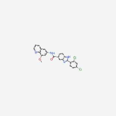 COc1cc(NC(=O)c2ccc3[nH]c(-c4ccc(Cl)cc4Cl)nc3c2)cc2cccnc12